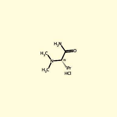 CC(C)[C@@H](C(N)=O)N(C)C.Cl